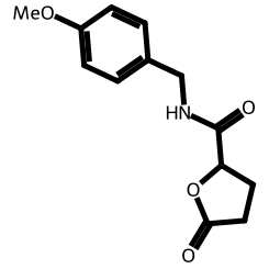 COc1ccc(CNC(=O)C2CCC(=O)O2)cc1